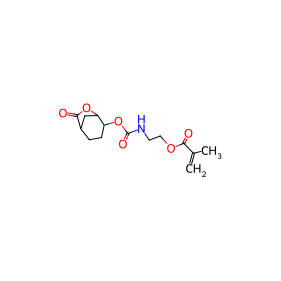 C=C(C)C(=O)OCCNC(=O)OC1CCC2CC1OC2=O